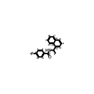 CC(NC(=O)c1ccc(F)cc1)c1cccc2ccccc12